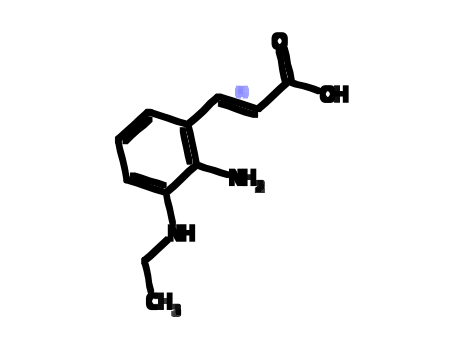 CCNc1cccc(/C=C/C(=O)O)c1N